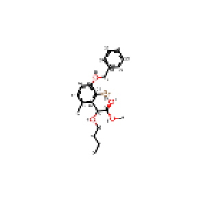 CCCCOC(C(=O)OC)c1c(C)ccc(OCc2ccccc2)c1Br